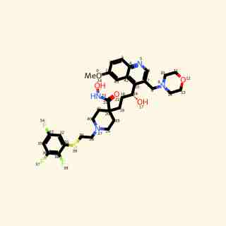 COc1ccc2ncc(CN3CCOCC3)c([C@H](O)CCC3(C(=O)NO)CCN(CCSc4cc(F)cc(F)c4F)CC3)c2c1